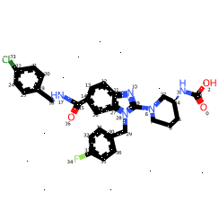 O=C(O)N[C@@H]1CCCN(c2nc3ccc(C(=O)NCc4ccc(Cl)cc4)cc3n2Cc2ccc(F)cc2)C1